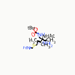 C=C(N)C(CNC(=O)OC(C)(C)C)(NC(C)=O)/C(C)=C(\C)CSC=N